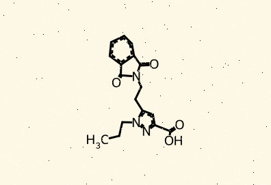 CCCn1nc(C(=O)O)cc1CCN1C(=O)c2ccccc2C1=O